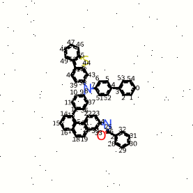 c1ccc(-c2ccc(N(c3ccc(-c4cccc5ccc6c(ccc7nc(-c8ccccc8)oc76)c45)cc3)c3ccc4c(c3)sc3ccccc34)cc2)cc1